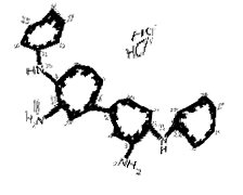 Cl.Cl.Nc1cc(-c2ccc(Nc3ccccc3)c(N)c2)ccc1Nc1ccccc1